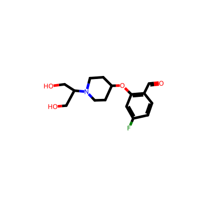 O=Cc1ccc(F)cc1OC1CCN(C(CO)CO)CC1